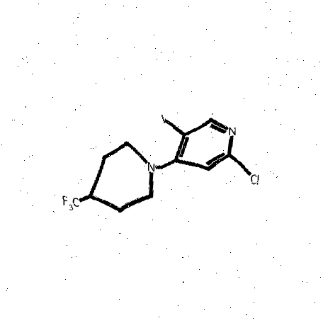 FC(F)(F)C1CCN(c2cc(Cl)ncc2I)CC1